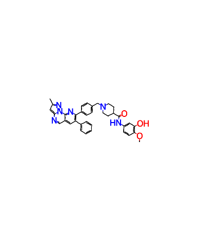 COc1ccc(NC(=O)C2CCN(Cc3ccc(-c4nc5c(cnc6cc(C)nn65)cc4-c4ccccc4)cc3)CC2)cc1O